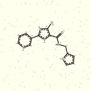 O=C(NCc1ccco1)c1sc(-c2cccnc2)nc1Cl